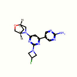 Nc1ncc(-c2cc(N3C[C@@H]4C[C@H]3CO4)nc(N3CC(F)C3)n2)cn1